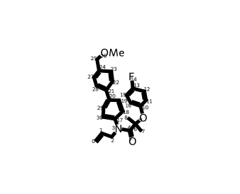 C=CCN(C(=O)C(C)(C)Oc1ccc(F)cc1)c1ccc(-c2ccc(COC)cc2)cc1